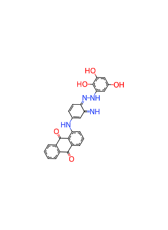 N=C1C=C(Nc2cccc3c2C(=O)c2ccccc2C3=O)C=C/C1=N/Nc1cc(O)cc(O)c1O